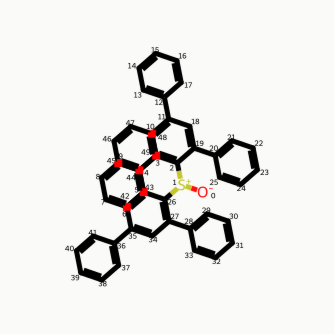 [O-][S+](c1c(-c2ccccc2)cc(-c2ccccc2)cc1-c1ccccc1)c1c(-c2ccccc2)cc(-c2ccccc2)cc1-c1ccccc1